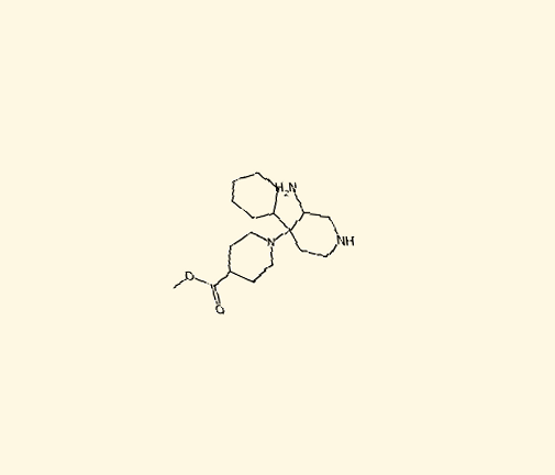 COC(=O)C1CCN(C2(C3CCCCC3)CCNCC2N)CC1